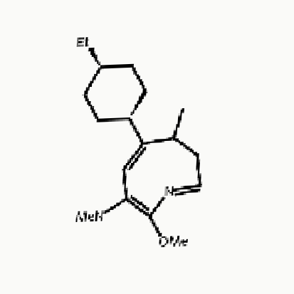 CC[C@H]1CC[C@@H](/C2=C/C(NC)=C(OC)\N=C\CC2C)CC1